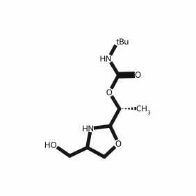 C[C@@H](OC(=O)NC(C)(C)C)C1NC(CO)CO1